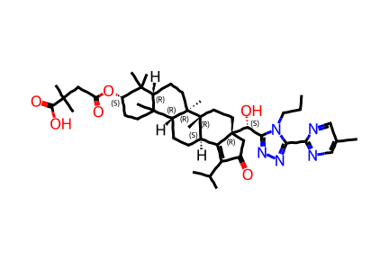 CCCn1c(-c2ncc(C)cn2)nnc1[C@@H](O)[C@@]12CC[C@]3(C)[C@H](CC[C@@H]4C5(C)CC[C@H](OC(=O)CC(C)(C)C(=O)O)C(C)(C)[C@@H]5CC[C@]43C)C1=C(C(C)C)C(=O)C2